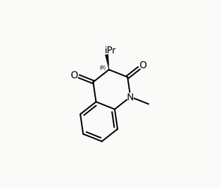 CC(C)[C@@H]1C(=O)c2ccccc2N(C)C1=O